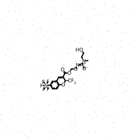 CN(CCO)/[N+]([O-])=N/OCOC(=O)C1=Cc2cc(S(F)(F)(F)(F)F)ccc2O[C@@H]1C(F)(F)F